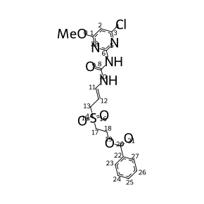 COc1cc(Cl)nc(NC(=O)NC=CCS(=O)(=O)CCOC(=O)c2ccccc2)n1